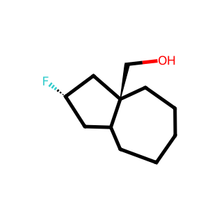 OC[C@@]12CCCCCC1C[C@H](F)C2